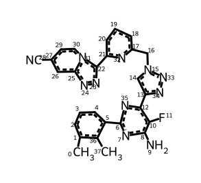 Cc1cccc(-c2nc(N)c(F)c(-c3cn(Cc4cccc(-c5nnc6cc(C#N)ccn56)n4)nn3)n2)c1C